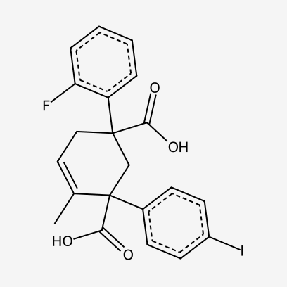 CC1=CCC(C(=O)O)(c2ccccc2F)CC1(C(=O)O)c1ccc(I)cc1